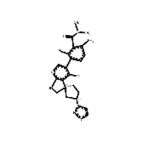 CN(C)C(=O)c1c(N)ccc(-c2cnc3c(c2Cl)[C@]2(CC[C@@H](n4ccnn4)C2)CN3)c1F